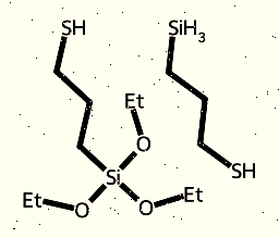 CCO[Si](CCCS)(OCC)OCC.[SiH3]CCCS